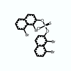 S=P(Cl)(Oc1ccc2cccc(Br)c2c1Br)Oc1ccc2cccc(Br)c2c1Br